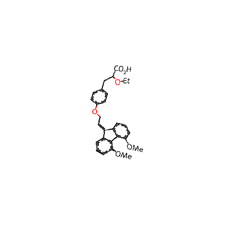 CCOC(Cc1ccc(OCC=C2c3cccc(OC)c3-c3c(OC)cccc32)cc1)C(=O)O